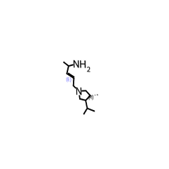 CC(N)/C=C/CN1CC(C(C)C)[C@@H](C)C1